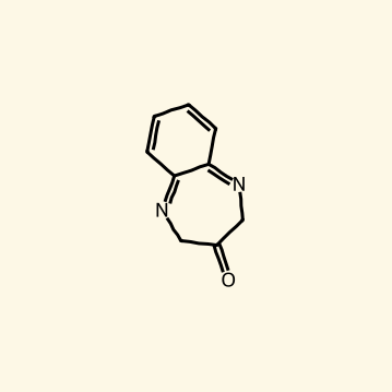 O=C1CN=c2ccccc2=NC1